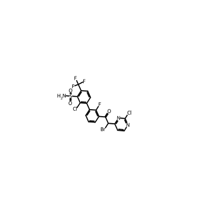 NS(=O)(=O)c1c(C(F)(F)F)ccc(-c2cccc(C(=O)C(Br)c3ccnc(Cl)n3)c2F)c1Cl